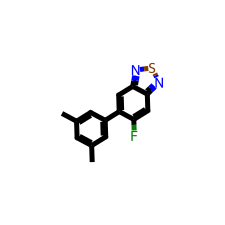 Cc1cc(C)cc(-c2cc3nsnc3cc2F)c1